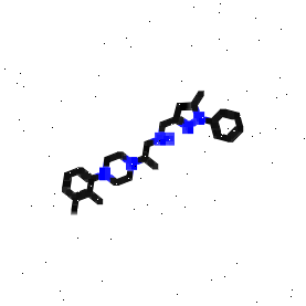 Cc1cccc(N2CCN(C(C)CNCc3cc(C)n(-c4ccccc4)n3)CC2)c1C